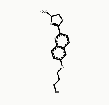 NCCCOc1ccc2nc(C3=N[C@@H](C(=O)O)CS3)ccc2c1